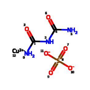 NC(=O)NC(N)=O.O=S(=O)([O-])[O-].[Cu+2]